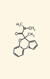 CN(C)C(=O)C1(C)Oc2ccccc2-n2cccc21